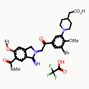 CCOc1cc2c(cc1C(=O)NC)C(=N)N(CC(=O)c1cc(C(C)C)c(OC)c(N3CCC(CC(=O)O)CC3)c1)C2.O=C(O)C(F)(F)F